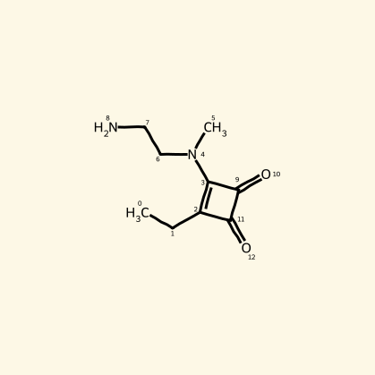 CCc1c(N(C)CCN)c(=O)c1=O